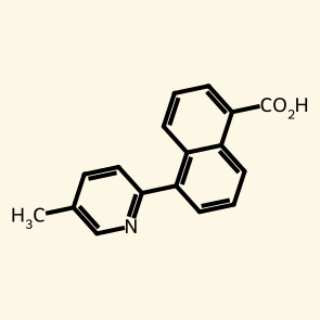 Cc1ccc(-c2cccc3c(C(=O)O)cccc23)nc1